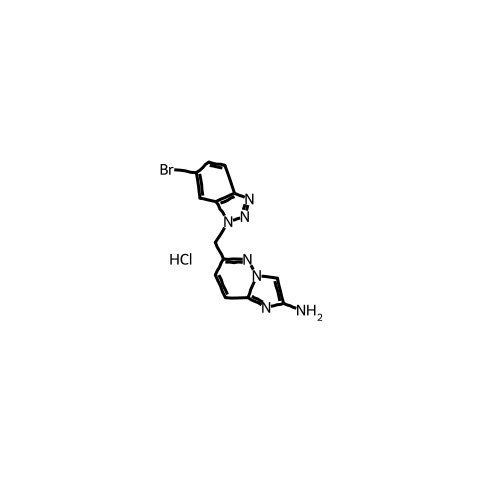 Cl.Nc1cn2nc(Cn3nnc4ccc(Br)cc43)ccc2n1